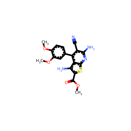 COC(=O)c1sc2nc(N)c(C#N)c(-c3ccc(OC)c(OC)c3)c2c1N